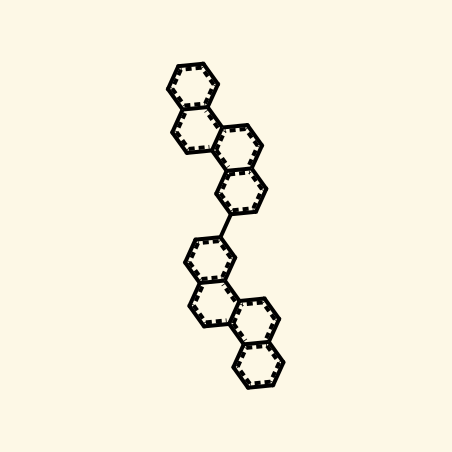 c1ccc2c(c1)ccc1c3cc(-c4ccc5ccc6c7ccccc7ccc6c5c4)ccc3ccc21